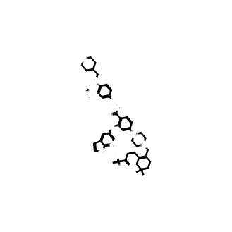 C=C(CCC1=C(CN2CCN(c3ccc(C(=O)NS(=O)(=O)c4ccc(NCC5CCOCC5)c([N+](=O)[O-])c4)c(Oc4cnc5[nH]ccc5c4)c3)CC2)CCC(C)(C)C1)C(C)(F)F